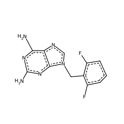 Nc1nc(N)c2ncn(Cc3c(F)cccc3F)c2n1